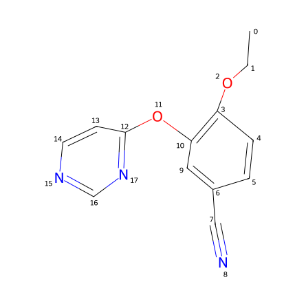 CCOc1ccc(C#N)cc1Oc1ccncn1